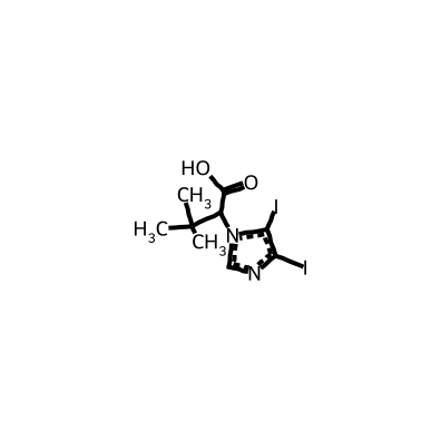 CC(C)(C)C(C(=O)O)n1cnc(I)c1I